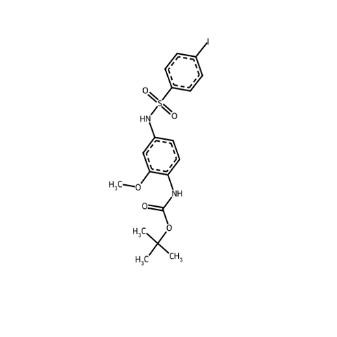 COc1cc(NS(=O)(=O)c2ccc(I)cc2)ccc1NC(=O)OC(C)(C)C